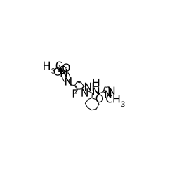 Cn1nccc1C(=O)NC(c1nc2c(F)c(CN3CCN(S(C)(=O)=O)CC3)ccc2[nH]1)C1CCCCCCC1